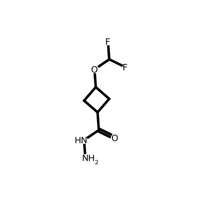 NNC(=O)C1CC(OC(F)F)C1